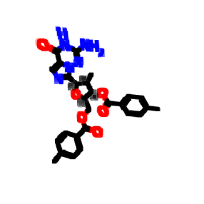 Cc1ccc(C(=O)OC[C@H]2O[C@@H](c3ncc4c(=O)[nH]c(N)nn34)[C@@H](C)[C@@H]2OC(=O)c2ccc(C)cc2)cc1